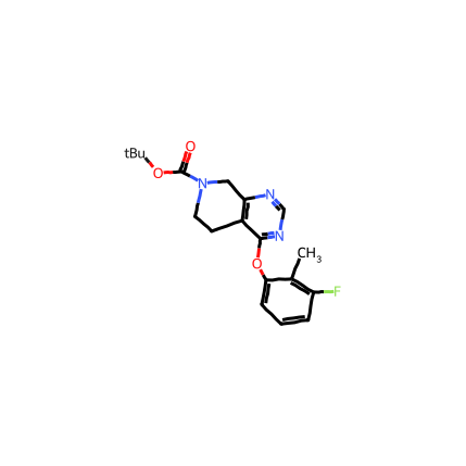 Cc1c(F)cccc1Oc1ncnc2c1CCN(C(=O)OC(C)(C)C)C2